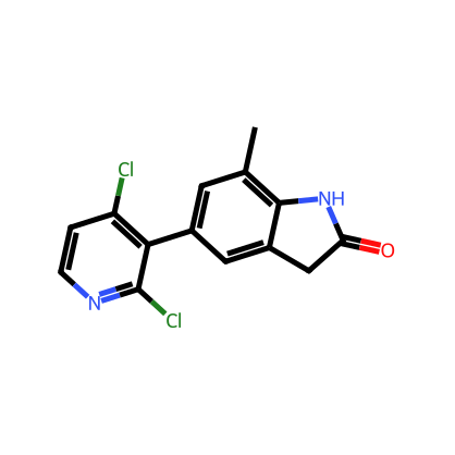 Cc1cc(-c2c(Cl)ccnc2Cl)cc2c1NC(=O)C2